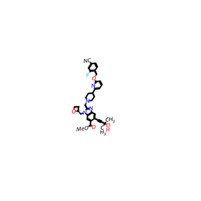 COC(=O)c1cc2c(cc1C#CC(C)(C)O)nc(CN1CCC(c3cccc(OCc4ccc(C#N)cc4F)n3)CC1)n2C[C@@H]1CCO1